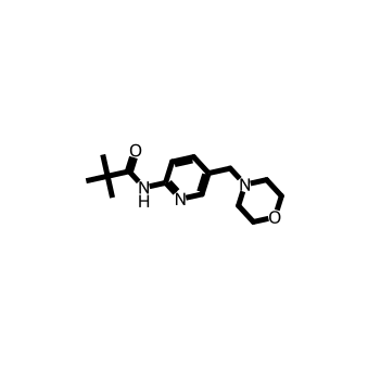 CC(C)(C)C(=O)Nc1ccc(CN2CCOCC2)cn1